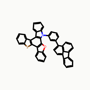 c1cc(-c2ccc3c4c(cccc24)-c2ccccc2-3)cc(-n2c3ccccc3c3c4c5ccccc5sc4c4c5ccccc5oc4c32)c1